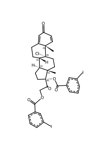 C[C@]12C=CC(=O)C=C1CC[C@H]1[C@@H]3CC[C@](OC(=O)c4cccc(I)c4)(C(=O)COC(=O)c4cccc(I)c4)[C@@]3(C)CC[C@@]12Cl